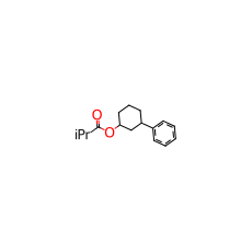 CC(C)C(=O)OC1CCCC(c2ccccc2)C1